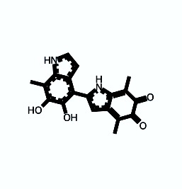 CC1=c2cc(-c3c(O)c(O)c(C)c4[nH]ccc34)[nH]c2=C(C)C(=O)C1=O